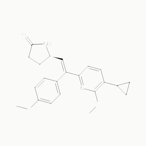 COc1nc(/C(=C/[C@H]2CCC(=O)N2)c2ccc(SC)cc2)ccc1C1CC1